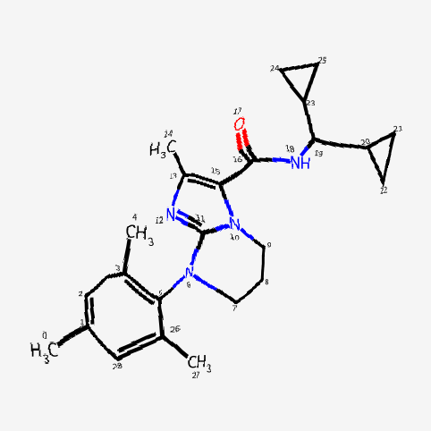 Cc1cc(C)c(N2CCCn3c2nc(C)c3C(=O)NC(C2CC2)C2CC2)c(C)c1